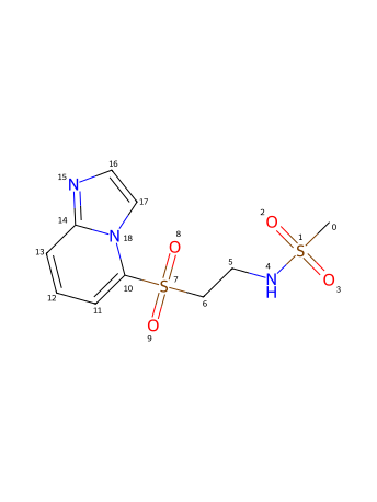 CS(=O)(=O)NCCS(=O)(=O)c1cccc2nccn12